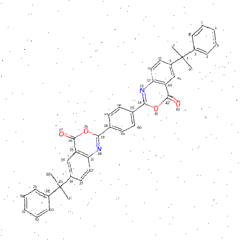 CC(C)(c1ccccc1)c1ccc2nc(-c3ccc(-c4nc5ccc(C(C)(C)c6ccccc6)cc5c(=O)o4)cc3)oc(=O)c2c1